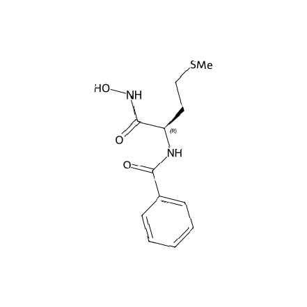 CSCC[C@@H](NC(=O)c1ccccc1)C(=O)NO